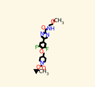 COCCNC(=O)c1ncc(-c2cc(F)c(OCC3CCN(C(=O)OC4(C)CC4)CC3)c(F)c2)cn1